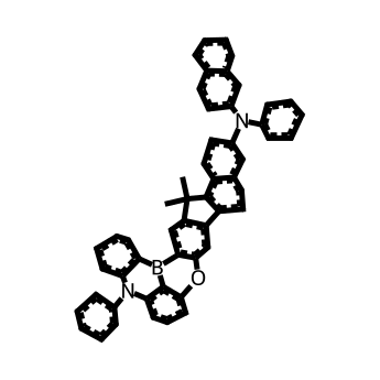 CC1(C)c2cc3c(cc2-c2ccc4cc(N(c5ccccc5)c5ccc6ccccc6c5)ccc4c21)Oc1cccc2c1B3c1ccccc1N2c1ccccc1